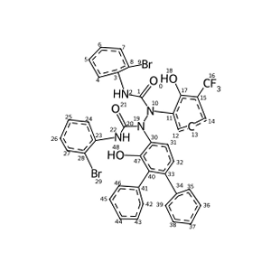 O=C(Nc1ccccc1Br)N(c1cccc(C(F)(F)F)c1O)N(C(=O)Nc1ccccc1Br)c1ccc(-c2ccccc2)c(-c2ccccc2)c1O